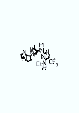 CCNc1nc(Nc2cn([C@H]3CCn4ccnc43)nc2C)ncc1C(F)(F)F